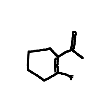 CC(=O)C1=C(F)CCCC1